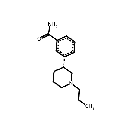 CCCN1CCC[C@H](c2cccc(C(N)=O)c2)C1